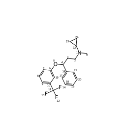 CN(CCC(Oc1cccc(C(F)(F)F)c1)c1ccccc1)C1CC1